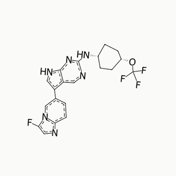 Fc1cnc2ccc(-c3c[nH]c4nc(N[C@H]5CC[C@@H](OC(F)(F)F)CC5)ncc34)cn12